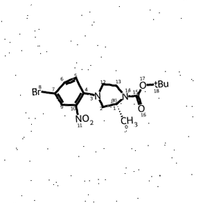 C[C@@H]1CN(c2ccc(Br)cc2[N+](=O)[O-])CCN1C(=O)OC(C)(C)C